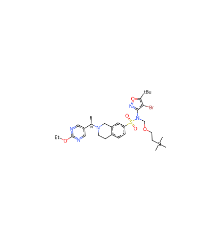 CCOc1ncc([C@@H](C)N2CCc3ccc(S(=O)(=O)N(COCC[Si](C)(C)C)c4noc(C(C)(C)C)c4Br)cc3C2)cn1